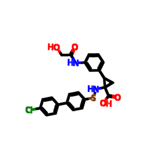 O=C(CO)Nc1cccc(C2CC2(NSc2ccc(-c3ccc(Cl)cc3)cc2)C(=O)O)c1